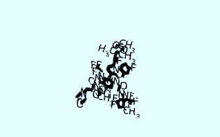 C[C@H]1CC(F)(F)c2c1c(C(F)(F)F)nn2CC(=O)N[C@@H](Cc1cc(F)cc(F)c1)c1nc(C#CC(C)(C)S(C)(=O)=O)ccc1-c1ccc(Cl)c2c(N(C(=O)CCN3CCOCC3)S(C)(=O)=O)nn(CC(F)(F)F)c12